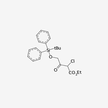 CCOC(=O)C(Cl)C(=O)CO[Si](c1ccccc1)(c1ccccc1)C(C)(C)C